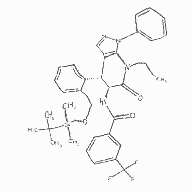 CCN1C(=O)[C@@H](NC(=O)c2cccc(C(F)(F)F)c2)[C@H](c2ccccc2CO[Si](C)(C)C(C)(C)C)c2cnn(-c3ccccc3)c21